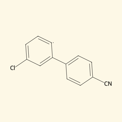 N#Cc1ccc(-c2[c]ccc(Cl)c2)cc1